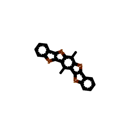 Cc1c2sc3c4ccccc4sc3c2c(C)c2c1sc1c3ccccc3sc12